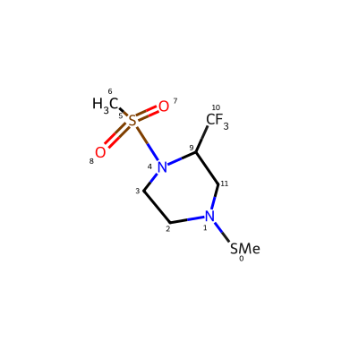 CSN1CCN(S(C)(=O)=O)C(C(F)(F)F)C1